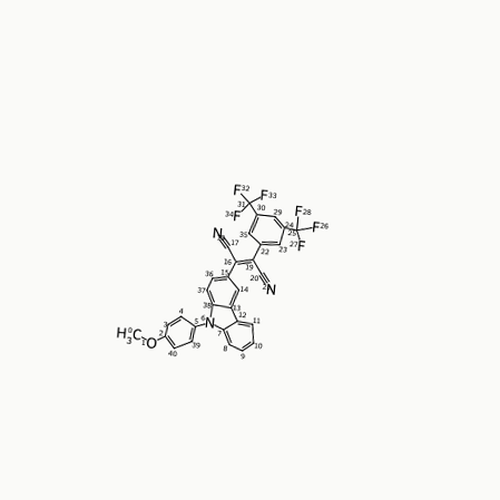 COc1ccc(-n2c3ccccc3c3cc(C(C#N)=C(C#N)c4cc(C(F)(F)F)cc(C(F)(F)F)c4)ccc32)cc1